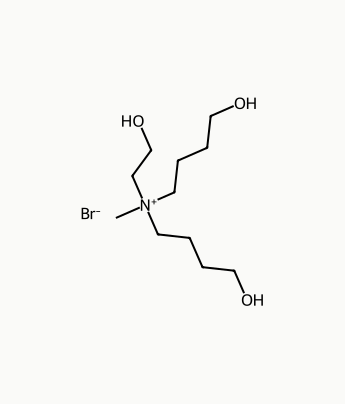 C[N+](CCO)(CCCCO)CCCCO.[Br-]